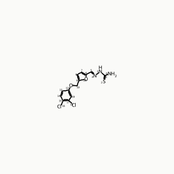 NC(=S)NN=Cc1ccc(COc2ccc(Cl)c(Cl)c2)o1